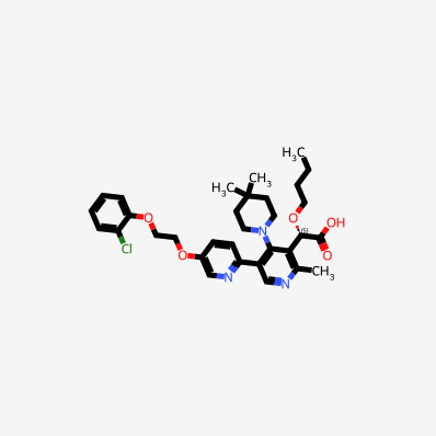 CCCCO[C@H](C(=O)O)c1c(C)ncc(-c2ccc(OCCOc3ccccc3Cl)cn2)c1N1CCC(C)(C)CC1